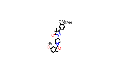 COc1ccc(C2=NN(C3CCN(C(=O)c4cc(OC(C)(C)C)ccc4C)CC3)C(=O)C2(C)C)cc1OC